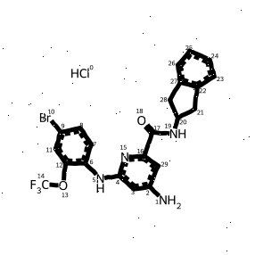 Cl.Nc1cc(Nc2ccc(Br)cc2OC(F)(F)F)nc(C(=O)NC2Cc3ccccc3C2)c1